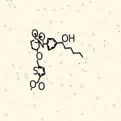 CCCCCC(O)c1ccc(N2C(OCc3ccc(C(=O)OC)s3)CCS2(=O)=O)cc1